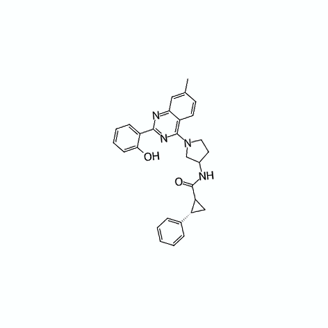 Cc1ccc2c(N3CCC(NC(=O)C4C[C@@H]4c4ccccc4)C3)nc(-c3ccccc3O)nc2c1